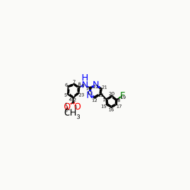 COC(=O)c1cccc(Nc2ncc(-c3cccc(F)c3)cn2)c1